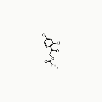 CC(=O)OCC(=O)c1ccc(Cl)cc1Cl